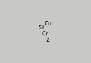 [Cr].[Cu].[Si].[Zr]